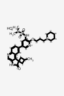 CC1CC2(C1)C(=O)Nc1cnc3ccc(-c4cnc(OCCCN5CCCCC5)c(NS(=O)(=O)N(C)C)c4)cc3c12.Cl